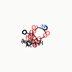 CC(=O)OC[C@]12[C@H](OC(C)=O)[C@H](C)[C@@H]3[C@@H](OC(=O)c4ccccc4)[C@@]14O[C@@]3(C)COC(=O)c1cccnc1[C@@H](C)[C@H](C)C(=O)O[C@@H]([C@H](OC(=O)c1ccccc1)[C@@H]2OC(C)=O)[C@]4(C)O